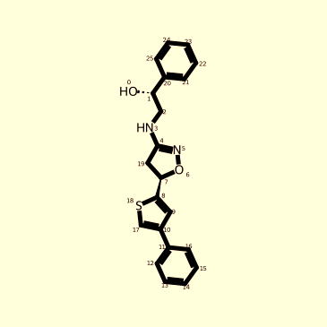 O[C@@H](CNC1=NO[C@@H](c2cc(-c3ccccc3)cs2)C1)c1ccccc1